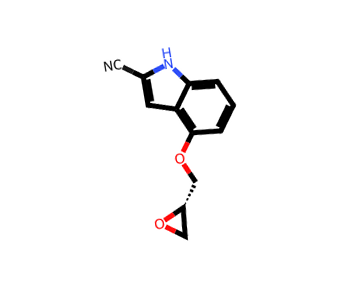 N#Cc1cc2c(OC[C@@H]3CO3)cccc2[nH]1